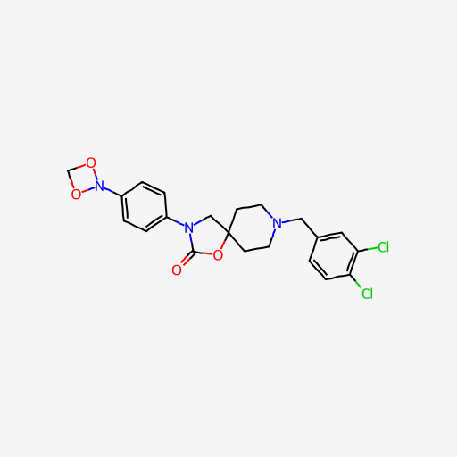 O=C1OC2(CCN(Cc3ccc(Cl)c(Cl)c3)CC2)CN1c1ccc(N2OCO2)cc1